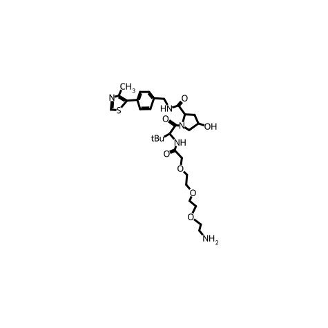 Cc1ncsc1-c1ccc(CNC(=O)C2CC(O)CN2C(=O)C(NC(=O)COCCOCCOCCN)C(C)(C)C)cc1